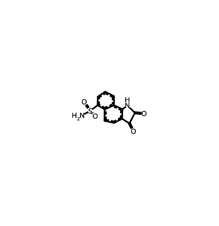 NS(=O)(=O)c1cccc2c3c(ccc12)C(=O)C(=O)N3